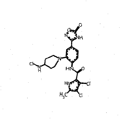 Cc1[nH]c(C(=O)Nc2ccc(-c3noc(=O)[nH]3)cc2N2CCC(NCl)CC2)c(Cl)c1Cl